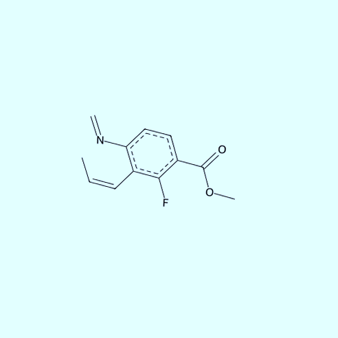 C=Nc1ccc(C(=O)OC)c(F)c1/C=C\C